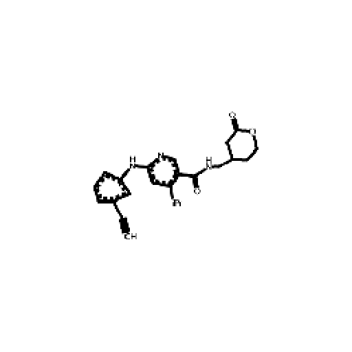 C#Cc1cccc(Nc2cc(C(C)C)c(C(=O)NCC3CCOC(=O)C3)cn2)c1